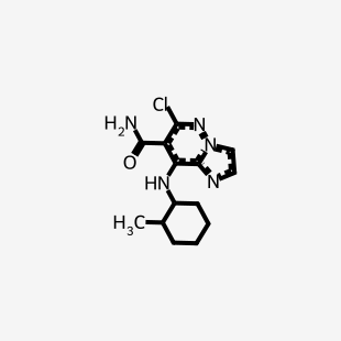 CC1CCCCC1Nc1c(C(N)=O)c(Cl)nn2ccnc12